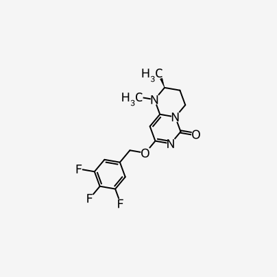 C[C@H]1CCn2c(cc(OCc3cc(F)c(F)c(F)c3)nc2=O)N1C